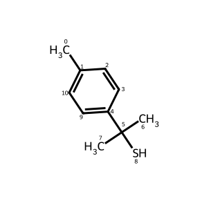 Cc1ccc(C(C)(C)S)cc1